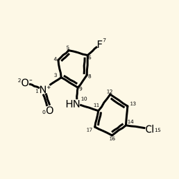 O=[N+]([O-])c1ccc(F)cc1Nc1ccc(Cl)cc1